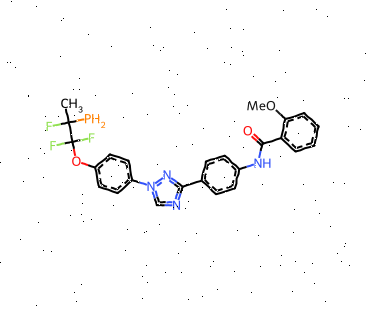 COc1ccccc1C(=O)Nc1ccc(-c2ncn(-c3ccc(OC(F)(F)C(C)(F)P)cc3)n2)cc1